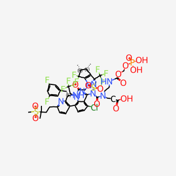 C[C@@H]1c2c(C(F)(F)F)nn(CC(=O)N[C@@H](Cc3cc(F)cc(F)c3)c3nc(CCC(C)(C)S(C)(=O)=O)ccc3-c3ccc(Cl)c4c(N(C(=O)N(CCNC(=O)OCOP(=O)(O)O)CCC(=O)O)S(C)(=O)=O)nn(CC(F)(F)F)c34)c2C(F)(F)[C@@H]1C